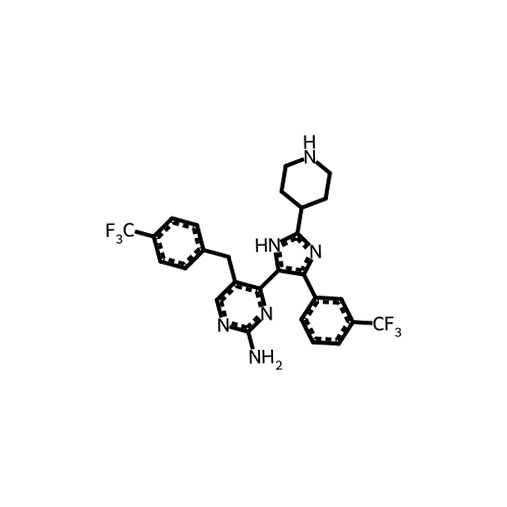 Nc1ncc(Cc2ccc(C(F)(F)F)cc2)c(-c2[nH]c(C3CCNCC3)nc2-c2cccc(C(F)(F)F)c2)n1